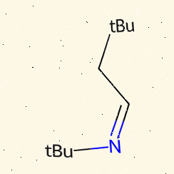 CC(C)(C)C/C=N\C(C)(C)C